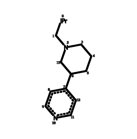 CC(C)CN1CCCC(c2ccncc2)C1